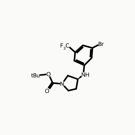 CC(C)(C)OC(=O)N1CC[C@H](Nc2cc(Br)cc(C(F)(F)F)c2)C1